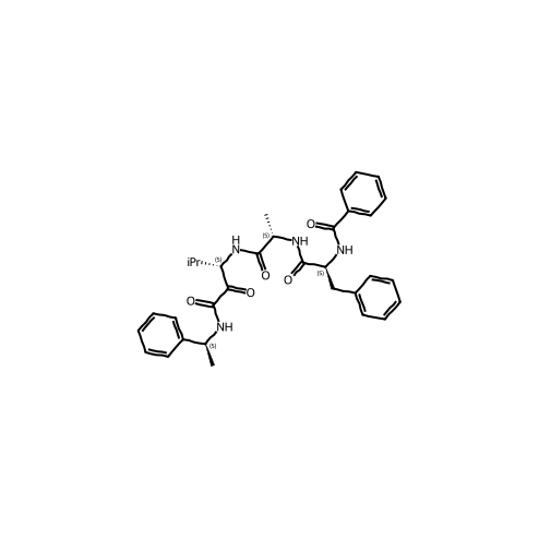 CC(C)[C@H](NC(=O)[C@H](C)NC(=O)[C@H](Cc1ccccc1)NC(=O)c1ccccc1)C(=O)C(=O)N[C@@H](C)c1ccccc1